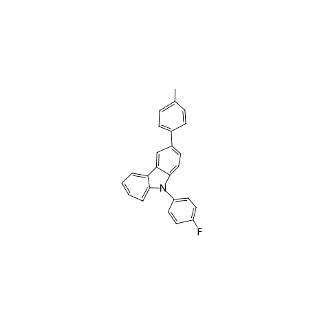 Cc1ccc(-c2ccc3c(c2)c2ccccc2n3-c2ccc(F)cc2)cc1